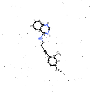 Cc1ccc(C#CCCNc2ncnc3ccccc23)c(C)c1